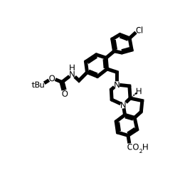 CC(C)(C)OC(=O)NCc1ccc(-c2ccc(Cl)cc2)c(CN2CCN3c4ccc(C(=O)O)cc4CC[C@@H]3C2)c1